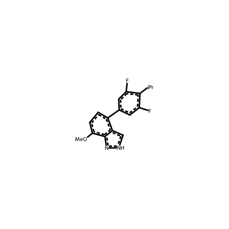 COc1ccc(-c2cc(F)c(C(C)C)c(F)c2)c2c[nH]nc12